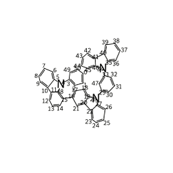 c1ccc(-n2c3ccccc3c3cccc(-c4ccc5c(c4)c4ccccc4n5-c4cccc(-n5c6ccccc6c6ccccc65)c4)c32)cc1